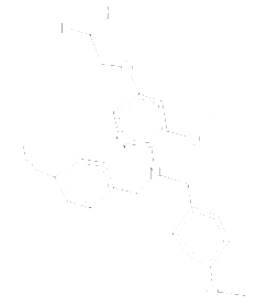 COc1ccc(CN(Cc2ccc(OC)cc2)c2ncc(OCC(F)F)cc2OC)cc1